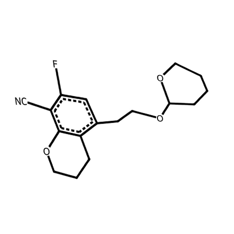 N#Cc1c(F)cc(CCOC2CCCCO2)c2c1OCCC2